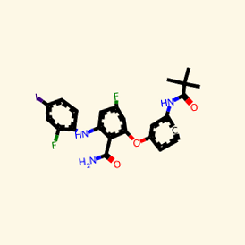 CC(C)(C)C(=O)Nc1cccc(Oc2cc(F)cc(Nc3ccc(I)cc3F)c2C(N)=O)c1